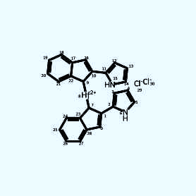 C1=C(c2ccc[nH]2)[CH]([Hf+2][CH]2C(c3ccc[nH]3)=Cc3ccccc32)c2ccccc21.[Cl-].[Cl-]